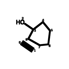 C#C.OC1CCCCC1